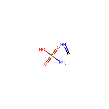 C=N.NS(=O)(=O)O